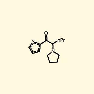 CCCC(C(=O)c1cccs1)N1CCCC1